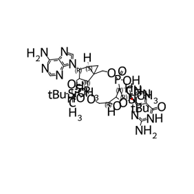 CC(C)(C)[Si](C)(C)OC1[C@@H]2[C@H](n3nnc4c(=O)[nH]c(N)nc43)O[C@@H]1COP(O)(=S)[C@H]1C(O[Si](C)(C)C(C)(C)C)[C@H](n3cnc4c(N)ncnc43)[C@H]3CC31COP2(=O)O